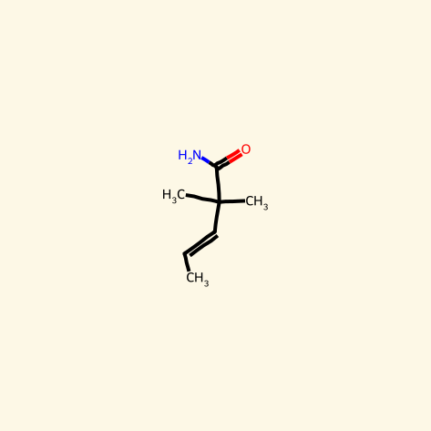 CC=CC(C)(C)C(N)=O